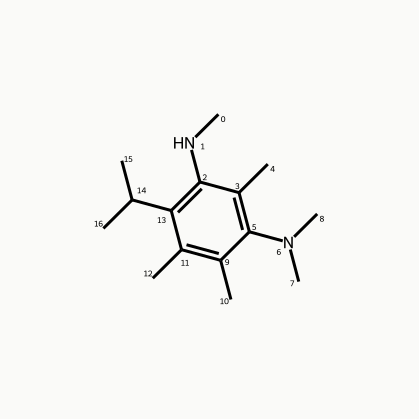 CNc1c(C)c(N(C)C)c(C)c(C)c1C(C)C